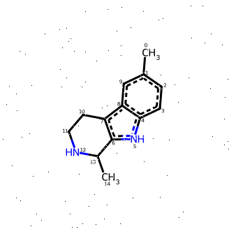 Cc1ccc2[nH]c3c(c2c1)CCNC3C